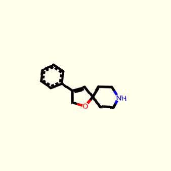 C1=C(c2ccccc2)COC12CCNCC2